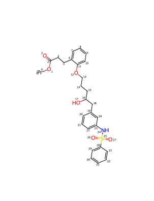 CC(C)OC(=O)CCc1ccccc1OCCCC(O)Cc1cccc(NS(=O)(=O)c2ccccc2)c1